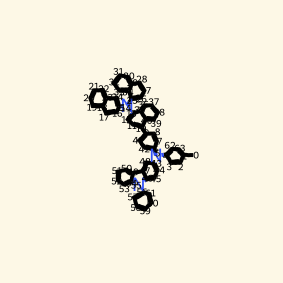 Cc1ccc(N(c2ccc(-c3ccc(N(c4ccc5ccccc5c4)c4cccc5ccccc45)c4ccccc34)cc2)c2ccc3c(c2)c2ccccc2n3-c2ccccc2)cc1